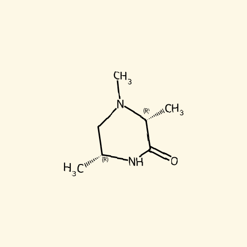 C[C@@H]1CN(C)[C@H](C)C(=O)N1